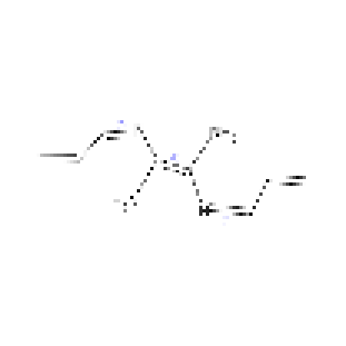 C=C\C=N/C(N)=C(N)/N=C\C=C